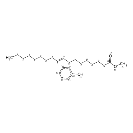 CCCCCCCCC=CCCCCCCCC(=O)OC.Oc1ccccc1